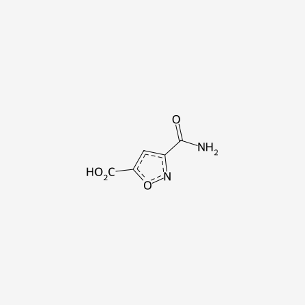 NC(=O)c1cc(C(=O)O)on1